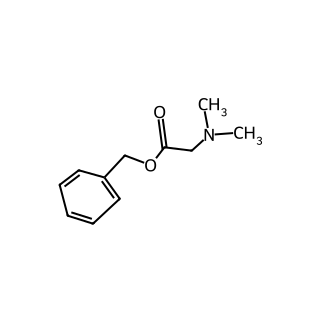 CN(C)CC(=O)OCc1ccccc1